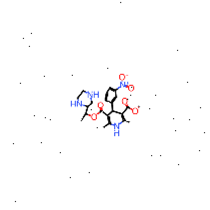 COC(=O)C1=C(C)NC(C)=C(C(=O)OC(C)C2CNCCN2)C1c1cccc([N+](=O)[O-])c1